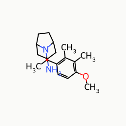 COc1ccc(C(C)N2C3CCC2CC(N)C3)c(C)c1C